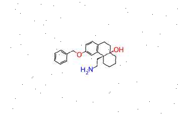 NCC[C@]12CCCC[C@@]1(O)CCc1ccc(OCc3ccccc3)cc12